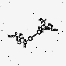 CCCC(F)(F)CN(Cc1nc2cc(C#Cc3ccc(-c4c[nH]c([C@@H]5CCCN5C(=O)[C@@H](NC(=O)OC)C(C)C)n4)cc3)ccc2[nH]1)C(=O)[C@@H](NC(=O)OC)C(C)C